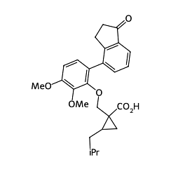 COc1ccc(-c2cccc3c2CCC3=O)c(OCC2(C(=O)O)CC2CC(C)C)c1OC